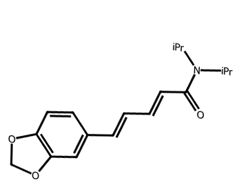 CC(C)N(C(=O)/C=C/C=C/c1ccc2c(c1)OCO2)C(C)C